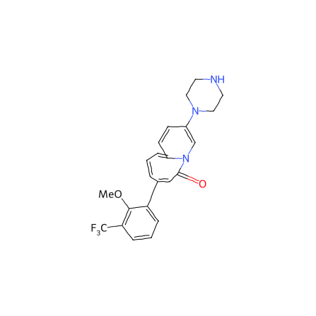 COc1c(C2=C\C(=O)N3C=C(N4CCNCC4)C=C\C3=C/C=C/2)cccc1C(F)(F)F